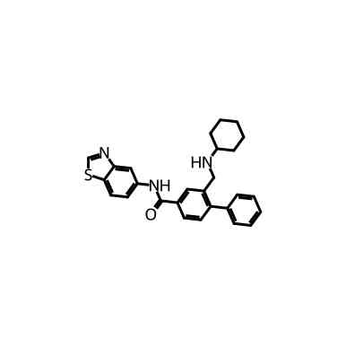 O=C(Nc1ccc2scnc2c1)c1ccc(-c2ccccc2)c(CNC2CCCCC2)c1